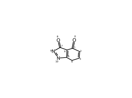 O=C1C=CCC2=C1C(=O)N=N2